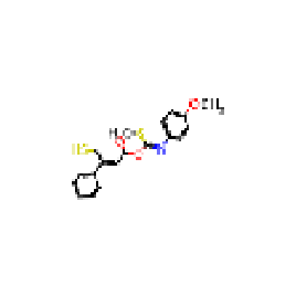 COc1ccc(N=C(OC(=O)C=C(CS)c2ccccc2)SC)cc1